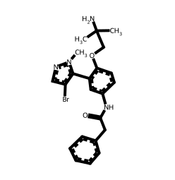 Cn1ncc(Br)c1-c1cc(NC(=O)Cc2ccccc2)ccc1OCC(C)(C)N